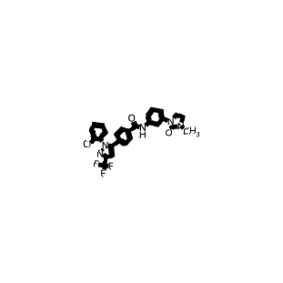 CN1CCN(c2cccc(NC(=O)c3ccc(-c4cc(C(F)(F)F)nn4-c4ccccc4Cl)cc3)c2)C1=O